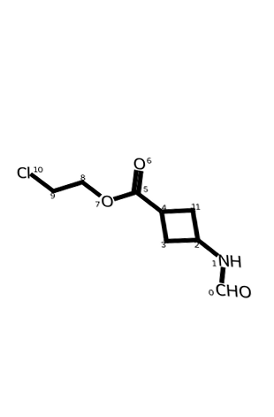 O=CNC1CC(C(=O)OCCCl)C1